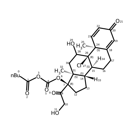 CCCCC(=O)OC(=O)O[C@]1(C(=O)CO)CC[C@H]2[C@@H]3CCC4=CC(=O)C=C[C@]4(C)[C@@]3(Cl)C(O)C[C@@]21C